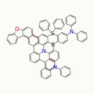 c1ccc(-c2cccc(-c3ccccc3)c2N2c3cc(N(c4ccccc4)c4ccccc4)ccc3B3c4ccc(N(c5ccccc5)c5ccccc5)cc4[Si](c4ccccc4)(c4ccccc4)c4cc(-c5ccc6oc7ccccc7c6c5)cc2c43)cc1